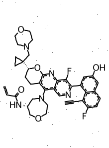 C#Cc1c(F)ccc2cc(O)cc(-c3ncc4c(N5CCOC[C@H](NC(=O)C=C)C5)c5c(nc4c3F)O[C@@H](C3(CN4CCOCC4)CC3)CC5)c12